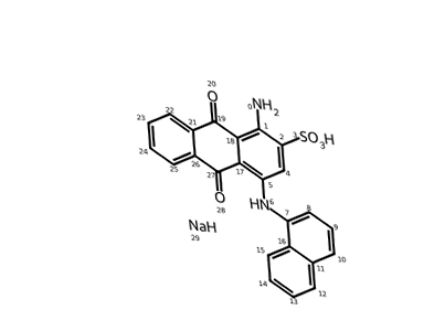 Nc1c(S(=O)(=O)O)cc(Nc2cccc3ccccc23)c2c1C(=O)c1ccccc1C2=O.[NaH]